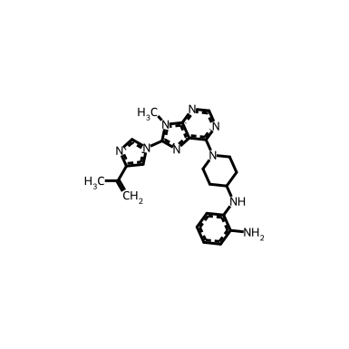 C=C(C)c1cn(-c2nc3c(N4CCC(Nc5ccccc5N)CC4)ncnc3n2C)cn1